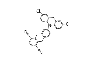 N#Cc1ccc(C#N)c2c1Cc1ccc(N3c4ccc(Cl)cc4Cc4cc(Cl)ccc43)cc1C2